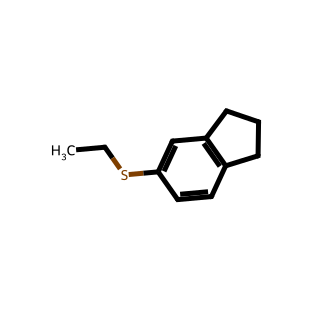 CCSc1ccc2c(c1)CCC2